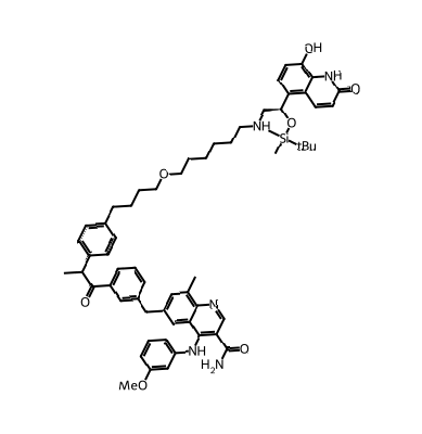 COc1cccc(Nc2c(C(N)=O)cnc3c(C)cc(Cc4cccc(C(=O)C(C)c5ccc(CCCCOCCCCCCNC[C@H](O[Si](C)(C)C(C)(C)C)c6ccc(O)c7[nH]c(=O)ccc67)cc5)c4)cc23)c1